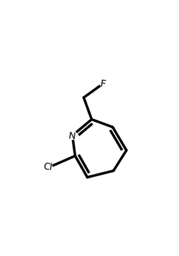 FCC1=NC(Cl)=CCC=C1